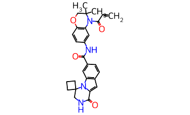 C=CC(=O)N1c2cc(NC(=O)c3ccc4cc5n(c4c3)C3(CCC3)CNC5=O)ccc2OCC1(C)C